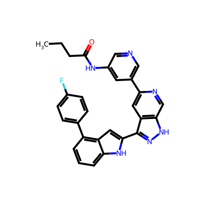 CCCC(=O)Nc1cncc(-c2cc3c(-c4cc5c(-c6ccc(F)cc6)cccc5[nH]4)n[nH]c3cn2)c1